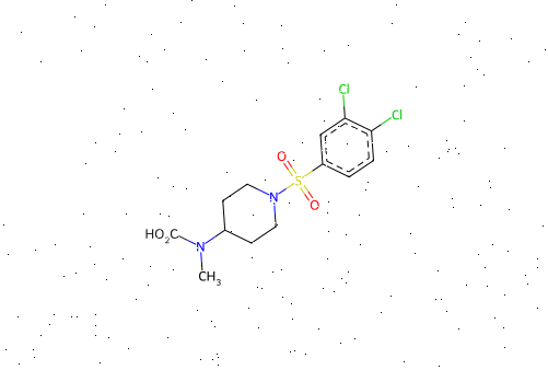 CN(C(=O)O)C1CCN(S(=O)(=O)c2ccc(Cl)c(Cl)c2)CC1